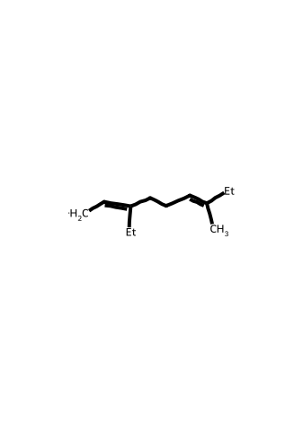 [CH2]/C=C(\CC)CC/C=C(\C)CC